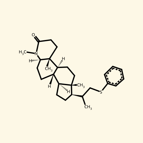 CC(CSc1ccccc1)[C@H]1CC[C@H]2[C@@H]3CC[C@H]4N(C)C(=O)CC[C@]4(C)[C@H]3CC[C@]12C